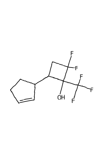 OC1(C(F)(F)F)C(C2C=CCC2)CC1(F)F